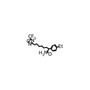 CCc1ccc(C(CCCCCCc2noc(C(F)(F)F)n2)C(N)=O)cc1